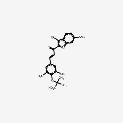 CCc1c(C(=O)/C=C/c2cc(C)c(OC(C)(C)C(=O)O)c(C)c2)oc2cc(SC)ccc12